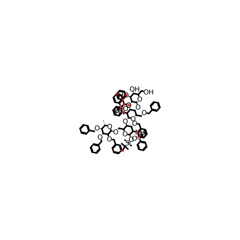 C[C@@H]1O[C@@H](OCC2O[C@H](O[Si](C)(C)C(C)(C)C)C(NS(=O)(=O)c3ccccc3)[C@H](OCc3ccccc3)[C@@H]2O[C@@H]2OC(COCc3ccccc3)[C@@H](O[C@@H]3OC(CO)[C@@H](O)[C@H](O)C3OCc3ccccc3)[C@@H](OCc3ccccc3)C2NS(=O)(=O)c2ccccc2)C(OCc2ccccc2)C(OCc2ccccc2)[C@@H]1OCc1ccccc1